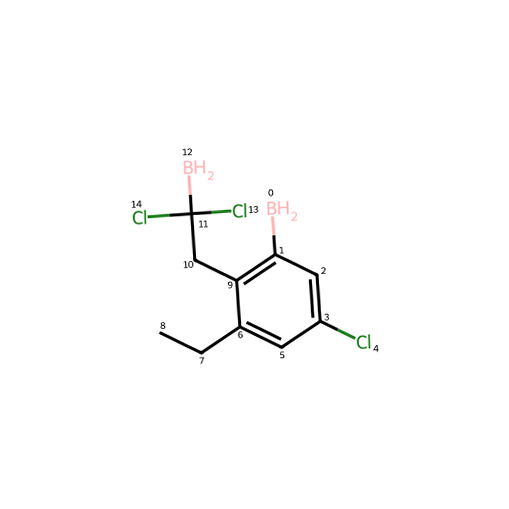 Bc1cc(Cl)cc(CC)c1CC(B)(Cl)Cl